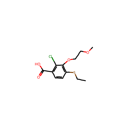 CCSc1ccc(C(=O)O)c(Cl)c1OCCOC